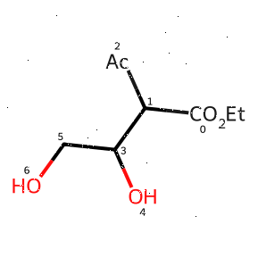 CCOC(=O)C(C(C)=O)C(O)CO